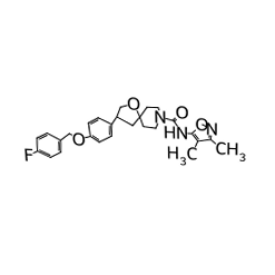 Cc1noc(NC(=O)N2CCC3(CC2)CC(c2ccc(OCc4ccc(F)cc4)cc2)CO3)c1C